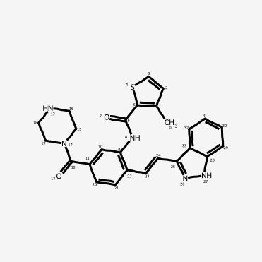 Cc1ccsc1C(=O)Nc1cc(C(=O)N2CCNCC2)ccc1C=Cc1n[nH]c2ccccc12